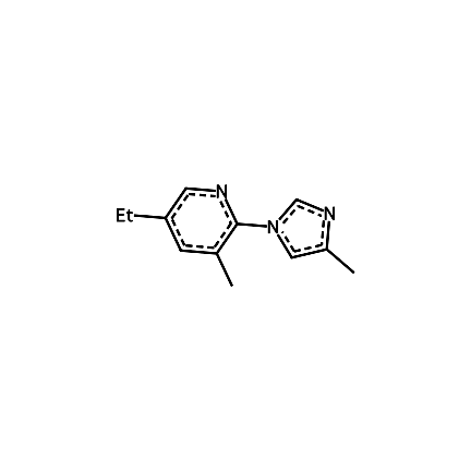 CCc1cnc(-n2cnc(C)c2)c(C)c1